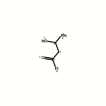 CCC(=O)CC(O)C(C)(C)C